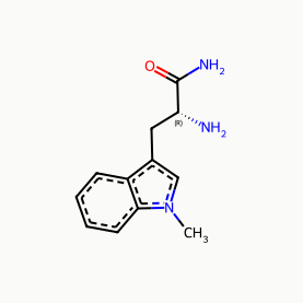 Cn1cc(C[C@@H](N)C(N)=O)c2ccccc21